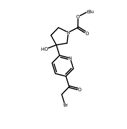 CC(C)(C)OC(=O)N1CCC(O)(c2ccc(C(=O)CBr)cn2)C1